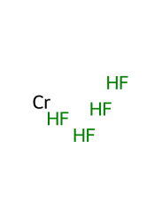 F.F.F.F.[Cr]